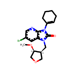 CO[C@@H]1COC[C@@H]1Cn1c(=O)n(C2=CCCCC2)c2ncc(Br)cc21